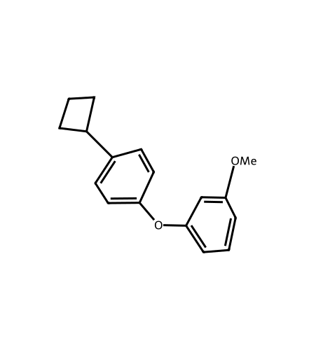 COc1cccc(Oc2ccc(C3CCC3)cc2)c1